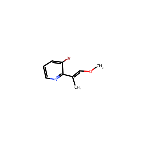 COC=C(C)c1ncccc1Br